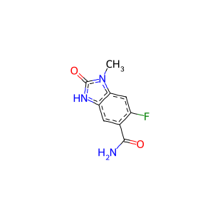 Cn1c(=O)[nH]c2cc(C(N)=O)c(F)cc21